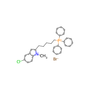 Cn1c(CCCCC[P+](c2ccccc2)(c2ccccc2)c2ccccc2)cc2cc(Cl)ccc21.[Br-]